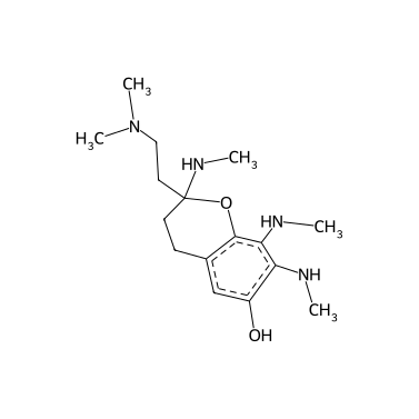 CNc1c(O)cc2c(c1NC)OC(CCN(C)C)(NC)CC2